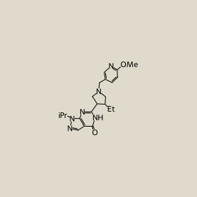 CCC1CN(Cc2ccc(OC)nc2)CC1c1nc2c(cnn2C(C)C)c(=O)[nH]1